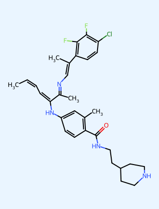 C\C=C/C=C(Nc1ccc(C(=O)NCCC2CCNCC2)c(C)c1)\C(C)=N\C=C(/C)c1ccc(Cl)c(F)c1F